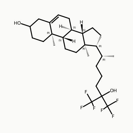 C[C@H](CCCC(O)(C(F)(F)F)C(F)(F)F)[C@H]1CC[C@H]2[C@@H]3CC=C4CC(O)CC[C@]4(C)[C@H]3CC[C@]12C